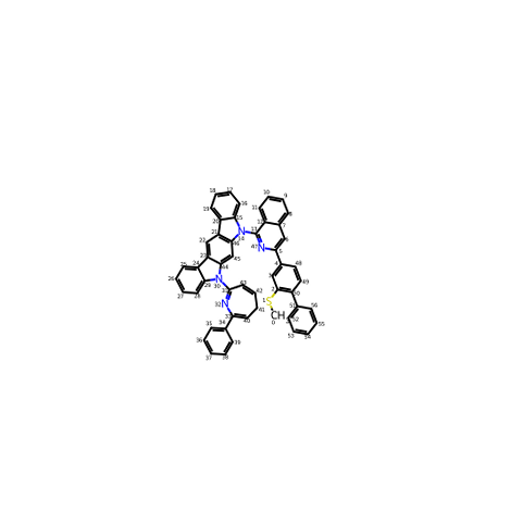 CSc1cc(-c2cc3ccccc3c(-n3c4ccccc4c4cc5c6ccccc6n(C6=NC(c7ccccc7)=CCC=C6)c5cc43)n2)ccc1-c1ccccc1